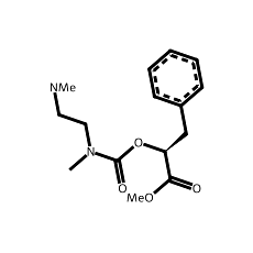 CNCCN(C)C(=O)O[C@@H](Cc1ccccc1)C(=O)OC